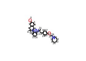 COc1ccc2c(c1)CC(C)(C)C(c1ccccc1NC(C)Cc1ccc(OCCN3CCCCCC3)cc1)=C2